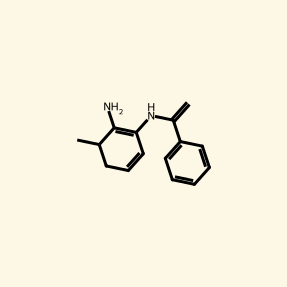 C=C(NC1=C(N)C(C)CC=C1)c1ccccc1